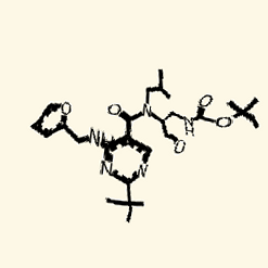 CC(C)CN(C(=O)c1cnc(C(C)(C)C)nc1NCc1ccco1)[C@H](C=O)CNC(=O)OC(C)(C)C